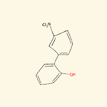 O=[N+]([O-])c1cccc(-c2ccccc2O)c1